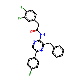 O=C(Cc1ccc(F)c(F)c1)Nc1ncc(-c2ccc(F)cc2)nc1Cc1ccccc1